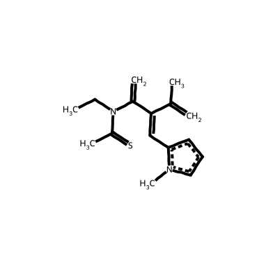 C=C(C)/C(=C\c1cccn1C)C(=C)N(CC)C(C)=S